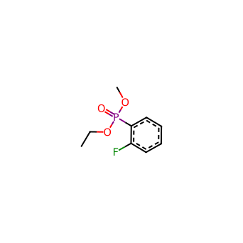 CCOP(=O)(OC)c1ccccc1F